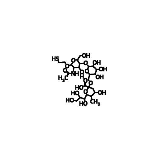 CC(=O)NC1C(OCCS)OC(CO)C(OC2OC(COC3(C(=O)O)CC(O)C(C)C(C(O)C(O)CO)O3)C(O)C(O)C2O)C1O